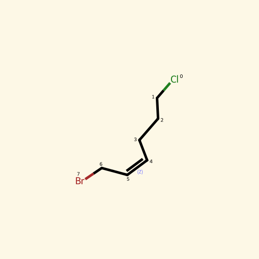 ClCCC/C=C\CBr